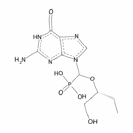 CC[C@H](CO)OC(n1cnc2c(=O)[nH]c(N)nc21)P(=O)(O)O